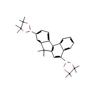 CCCCCCCCC1(CCCCCCCC)c2cc(B3OC(C)(C)C(C)(C)O3)ccc2-c2c1cc(B1OC(C)(C)C(C)(C)O1)c1ccccc21